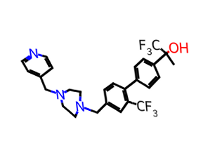 CC(O)(c1ccc(-c2ccc(CN3CCN(Cc4ccncc4)CC3)cc2C(F)(F)F)cc1)C(F)(F)F